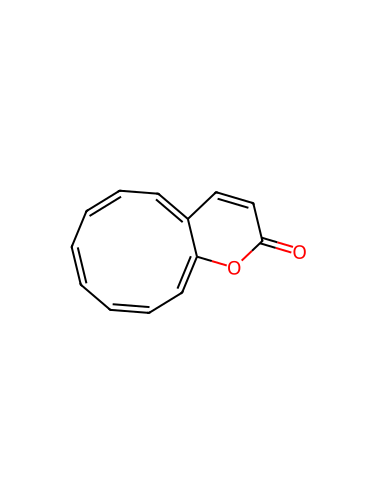 O=c1ccc2ccccccccc2o1